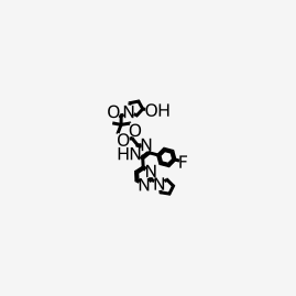 CC1(C(=O)N2CCC(O)C2)COC(c2nc(-c3ccc(F)cc3)c(-c3ccnc(N4CCCC4)n3)[nH]2)OC1